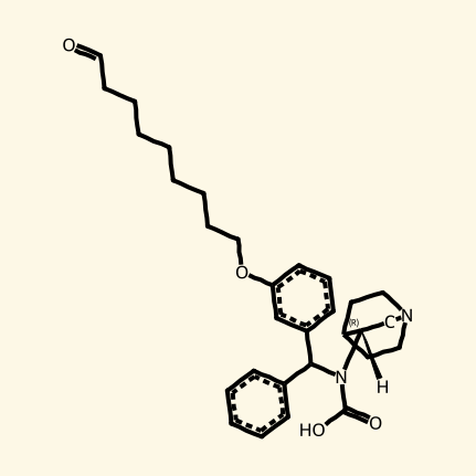 O=CCCCCCCCCOc1cccc(C(c2ccccc2)N(C(=O)O)[C@H]2CN3CCC2CC3)c1